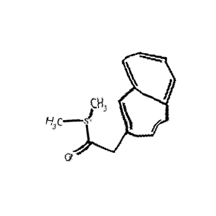 C[S+](C)C(=O)Cc1ccc2ccccc2c1